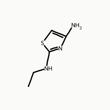 CCNc1nc(N)cs1